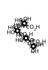 O=C(O)c1cc(O)c(O)c(O)c1.O=C(O)c1cc(O)c(O)c(O)c1.O=C(Oc1cc(O)cc(O)c1C(=O)O)c1ccc(O)c(O)c1